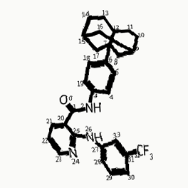 O=C(Nc1ccc(C23CC4CCC2CCC(C4)C3)cc1)c1cccnc1Nc1cccc(C(F)(F)F)c1